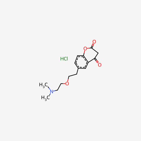 CN(C)CCOCCc1ccc2c(c1)C(=O)CC(=O)O2.Cl